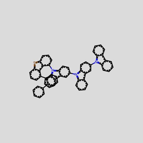 c1ccc(-c2ccccc2-c2cccc3sc4cccc(-n5c6ccccc6c6cc(-n7c8ccccc8c8cc(-n9c%10ccccc%10c%10ccccc%109)ccc87)ccc65)c4c23)cc1